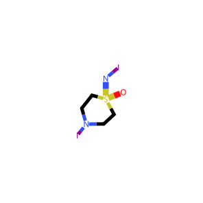 O=S1(=NI)CCN(I)CC1